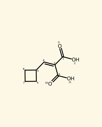 O=C(O)C(=CC1CCC1)C(=O)O